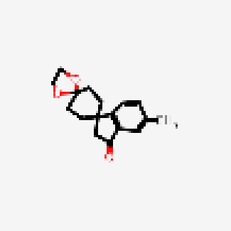 Cc1ccc2c(c1)C(=O)CC21CCC2(CC1)OCCO2